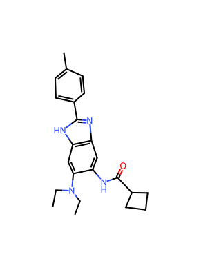 CCN(CC)c1cc2[nH]c(-c3ccc(C)cc3)nc2cc1NC(=O)C1CCC1